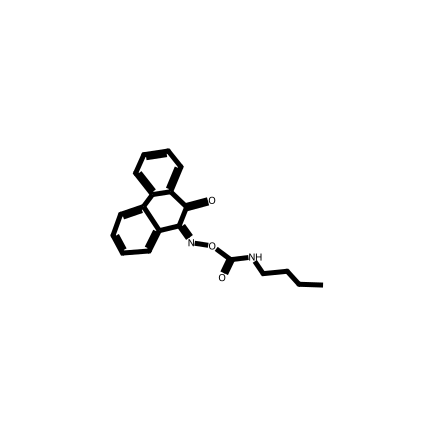 CCCCNC(=O)ON=C1C(=O)c2ccccc2-c2ccccc21